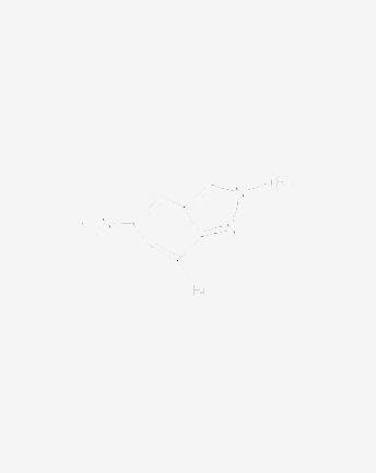 CC(C)(C)n1cc2cc([N+](=O)[O-])cc(Br)c2n1